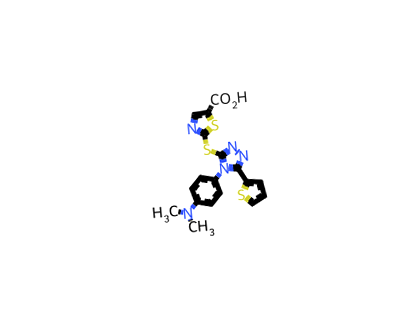 CN(C)c1ccc(-n2c(Sc3ncc(C(=O)O)s3)nnc2-c2cccs2)cc1